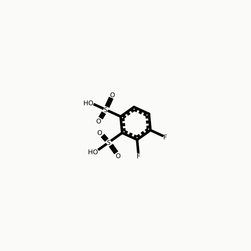 O=S(=O)(O)c1ccc(F)c(F)c1S(=O)(=O)O